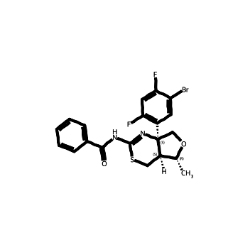 C[C@H]1OC[C@]2(c3cc(Br)c(F)cc3F)N=C(NC(=O)c3ccccc3)SC[C@H]12